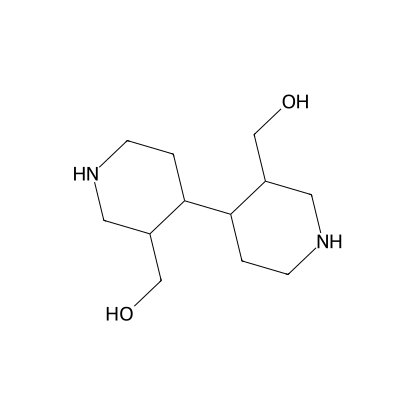 OCC1CNCCC1C1CCNCC1CO